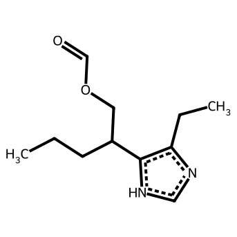 CCCC(COC=O)c1[nH]cnc1CC